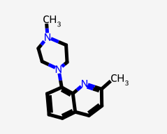 Cc1ccc2cccc(N3CCN(C)CC3)c2n1